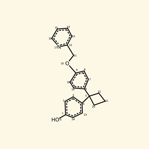 Oc1ccc(C2(c3ccc(OCc4ccccn4)cc3)CCC2)cc1